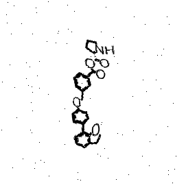 O=C(OC(=O)[C@@H]1CCCN1)c1cccc(COc2ccc(-c3cccc4c3OCC4)cc2)c1